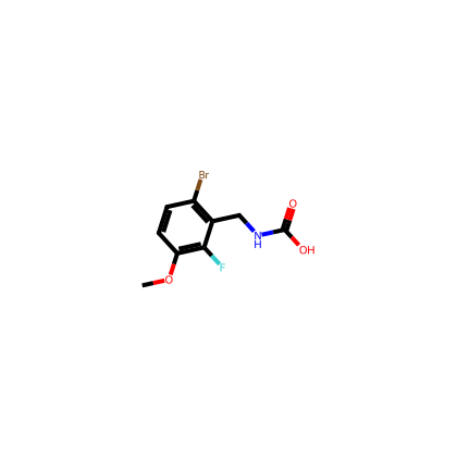 COc1ccc(Br)c(CNC(=O)O)c1F